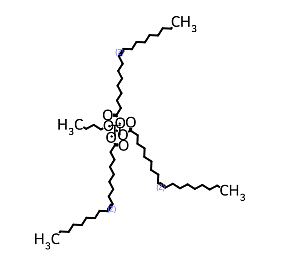 CCCCCCCC/C=C\CCCCCCCC(=O)[O][Ti]([O]CCCC)([O]C(=O)CCCCCCC/C=C\CCCCCCCC)[O]C(=O)CCCCCCC/C=C\CCCCCCCC